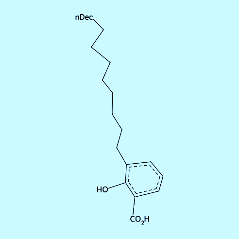 CCCCCCCCCCCCCCCCCCc1cccc(C(=O)O)c1O